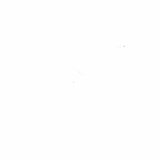 COC(=O)C=Cc1nn(Cc2ccc(F)cc2Cl)c2cc(OC(F)(F)F)ccc12